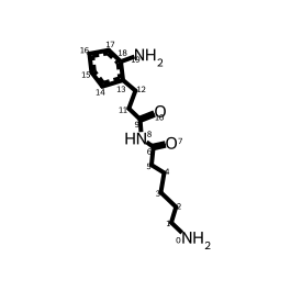 NCCCCCC(=O)NC(=O)CCc1ccccc1N